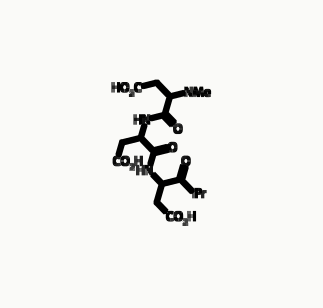 CNC(CC(=O)O)C(=O)NC(CC(=O)O)C(=O)NC(CC(=O)O)C(=O)C(C)C